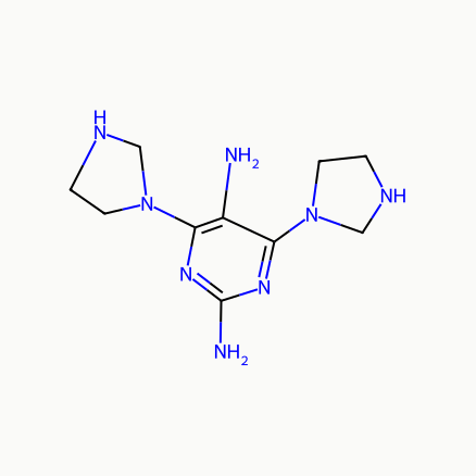 Nc1nc(N2CCNC2)c(N)c(N2CCNC2)n1